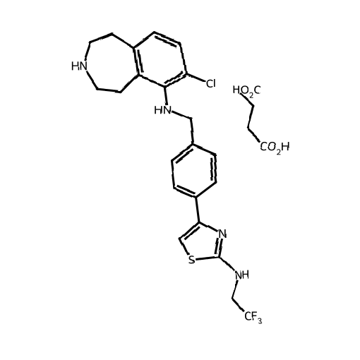 FC(F)(F)CNc1nc(-c2ccc(CNc3c(Cl)ccc4c3CCNCC4)cc2)cs1.O=C(O)CCC(=O)O